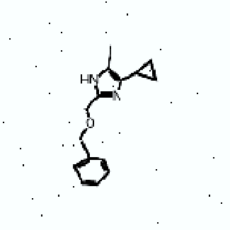 Ic1[nH]c(COCc2ccccc2)nc1C1CC1